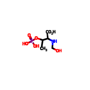 CC(OP(=O)(O)O)C(NCO)C(=O)O